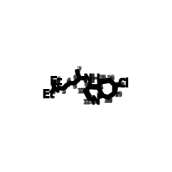 CCN(CC)CCCC(C)Nc1ccnc2c1C=CC(Cl)=CC2